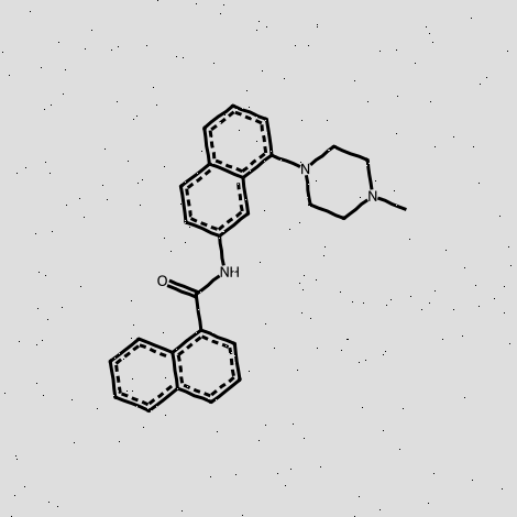 CN1CCN(c2cccc3ccc(NC(=O)c4cccc5ccccc45)cc23)CC1